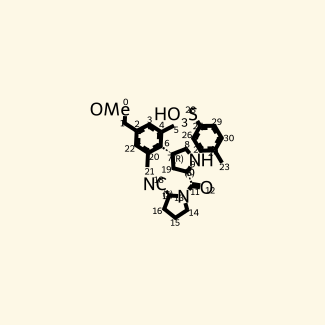 COCc1cc(C)c([C@@H]2CN[C@H](C(=O)N3CCC[C@H]3C#N)C2)c(C)c1.Cc1ccc(S(=O)(=O)O)cc1